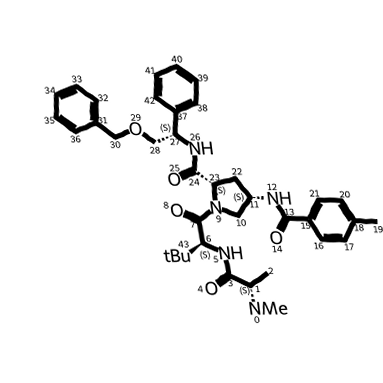 CN[C@@H](C)C(=O)N[C@H](C(=O)N1C[C@@H](NC(=O)c2ccc(C)cc2)C[C@H]1C(=O)N[C@H](COCc1ccccc1)c1ccccc1)C(C)(C)C